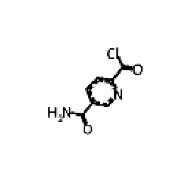 NC(=O)c1ccc(C(=O)Cl)nc1